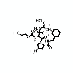 CCCOC(=O)N[C@@H](C(=O)N1C[C@H](N)C[C@H]1C(=O)NCC1CCCCC1)C(C)(C)SC(C)C.Cl